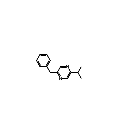 CC(C)c1cnc(Cc2ccccc2)cn1